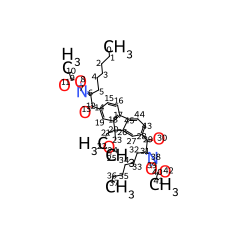 CCCCCC/C(=N\OC(C)=O)C(=O)c1ccc2c(c1)C(CC)(COC)c1cc(C(=O)/C(CCCCCC)=N/OC(C)=O)ccc1-2